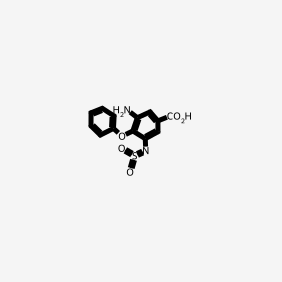 Nc1cc(C(=O)O)cc(N=S(=O)=O)c1Oc1ccccc1